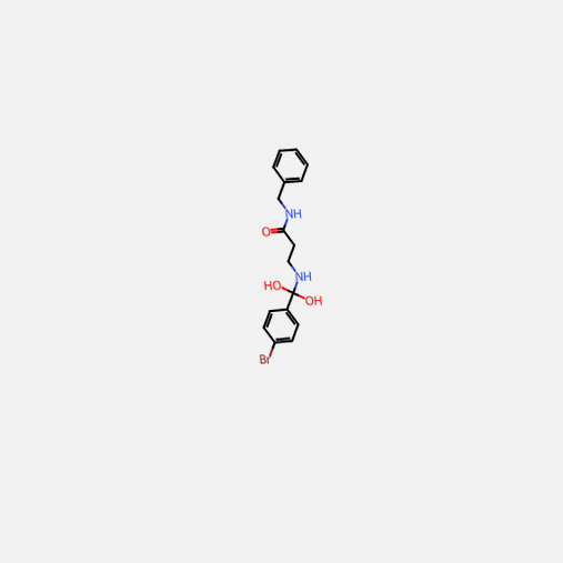 O=C(CCNC(O)(O)c1ccc(Br)cc1)NCc1ccccc1